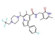 Cc1cc(C)c(CNC(=O)c2cc3c(-c4ccc(F)cc4)ccn3c(C(C)N3CCN(CC(F)(F)F)CC3)c2C)c(=O)[nH]1